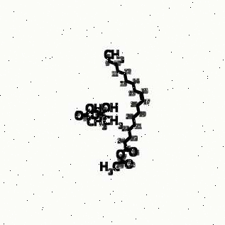 CC(=O)O.CC(=O)O.CCCCCCCC/C=C\CCCCCCCC(=O)OC(C)=O